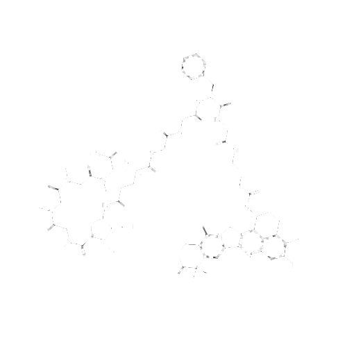 CC[C@@]1(O)C(=O)OCc2c1cc1n(c2=O)Cc2c-1nc1cc(F)c(C)c3c1c2[C@@H](NC(=O)COCNC(=O)CNC(=O)[C@H](Cc1ccccc1)NC(=O)CNC(=O)CNC(=O)[C@@H](N)CCC(=O)NC1O[C@H](C(=O)N(C)CC(=O)N(C)CC(=O)N(C)CC(=O)N(C)CC(N)=O)[C@@H](O)[C@H]1O)CC3